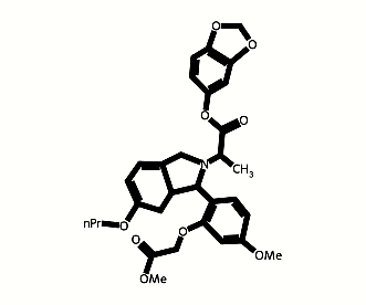 CCCOC1=CC=C2CN(C(C)C(=O)Oc3ccc4c(c3)OCO4)C(c3ccc(OC)cc3OCC(=O)OC)C2C1